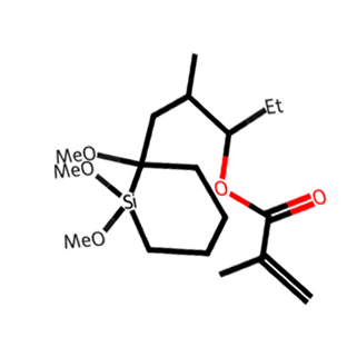 C=C(C)C(=O)OC(CC)C(C)CC1(OC)CCCC[Si]1(OC)OC